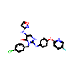 O=c1c(Nc2ccon2)c[nH]/c(=N\c2ccc(Oc3ccc(F)cn3)cc2)n1Cc1ccc(Cl)cc1